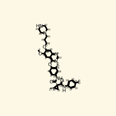 COc1cc2c(Oc3ccc(NC(=O)[C@]4(C(=O)Nc5ccc(F)cc5)C[C@H]4C)cc3F)ncnc2cc1OCCCN1CCNCC1